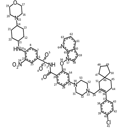 O=C(NS(=O)(=O)c1ccc(NC2CCC(N3CCOCC3)CC2)c([N+](=O)[O-])c1)c1ccc(N2CCN(CC3=C(c4ccc(Cl)cc4)CCC4(CCCC4)C3)CC2)cc1On1ccc2cccnc21